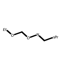 CCCC[N]OCOCC